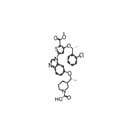 COC(=O)c1sc(-n2cnc3ccc(O[C@H](C)[C@@H]4CCCN(C(=O)O)C4)cc32)cc1O[C@H](C)c1ccccc1Cl